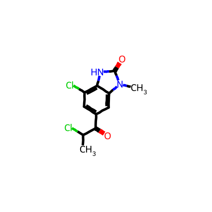 CC(Cl)C(=O)c1cc(Cl)c2[nH]c(=O)n(C)c2c1